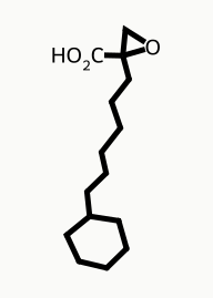 O=C(O)C1(CCCCCCC2CCCCC2)CO1